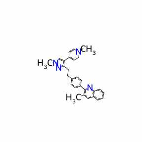 Cc1cc2ccccc2nc1-c1ccc(CCc2nn(C)cc2C2=CCN(C)C=C2)cc1